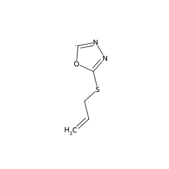 C=CCSc1nn[c]o1